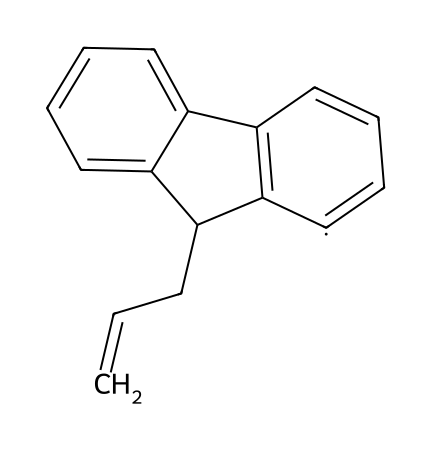 C=CCC1c2[c]cccc2-c2ccccc21